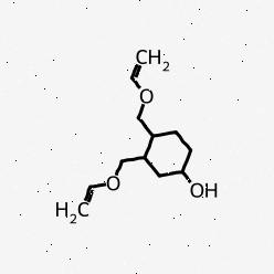 C=COCC1CCC(O)CC1COC=C